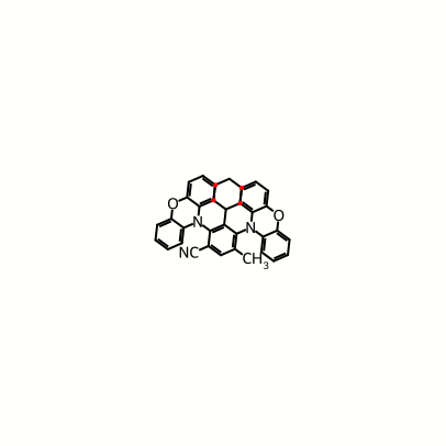 Cc1cc(C#N)c(N2c3ccccc3Oc3ccccc32)c(C2CCCCC2)c1N1c2ccccc2Oc2ccccc21